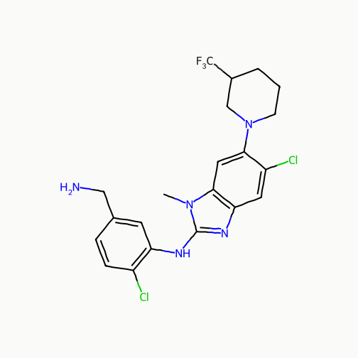 Cn1c(Nc2cc(CN)ccc2Cl)nc2cc(Cl)c(N3CCCC(C(F)(F)F)C3)cc21